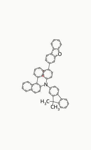 CC1(C)c2ccccc2-c2ccc(N(c3ccc(-c4ccc5c(c4)oc4ccccc45)cc3)c3ccc4ccccc4c3-c3ccccc3)cc21